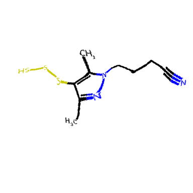 Cc1nn(CCCC#N)c(C)c1SSS